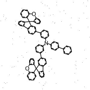 c1ccc(-c2ccc(N(c3cccc(-c4ccc5c(c4)C4(c6ccccc6Oc6ccccc64)c4ccccc4-5)c3)c3cccc(-c4ccc5c(c4)C4(c6ccccc6Oc6ccccc64)c4ccccc4-5)c3)cc2)cc1